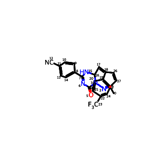 CC1=N/N2C(=O)N=C(c3ccc(C#N)cc3)NC2/C=C(c2ccc(C(F)(F)F)cc2)/C=C\1